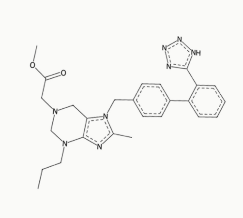 CCCN1CN(CC(=O)OC)Cc2c1nc(C)n2Cc1ccc(-c2ccccc2-c2nnn[nH]2)cc1